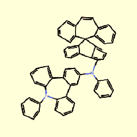 C1=Cc2ccccc2C2(c3ccccc31)c1ccccc1-c1c(N(c3ccccc3)c3ccc4c(c3)-c3ccccc3N(c3ccccc3)c3ccccc3-4)cccc12